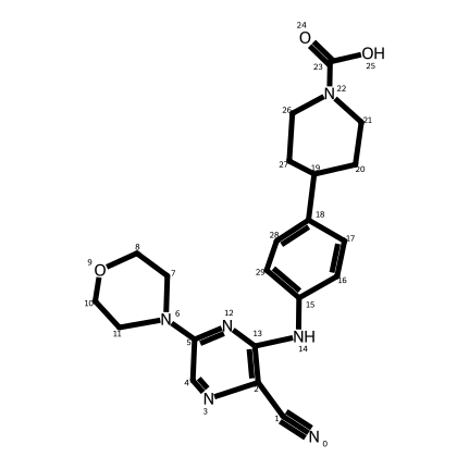 N#Cc1ncc(N2CCOCC2)nc1Nc1ccc(C2CCN(C(=O)O)CC2)cc1